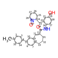 Cc1ccc(-c2ccc3c(c2)C=C(C(=O)Nc2ccc(O)cc2Cc2cccc[n+]2[O-])CCC3)cc1